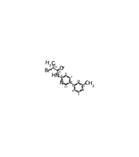 Cc1cccc(-c2ccc(NC(=O)C(C)Br)nc2)c1